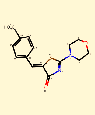 O=C1N=C(N2CCOCC2)SC1=Cc1ccc(C(=O)O)cc1